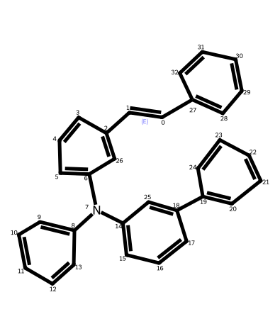 C(=C\c1cccc(N(c2ccccc2)c2cccc(-c3ccccc3)c2)c1)/c1ccccc1